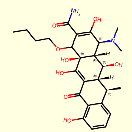 CCCCOC1C(C(N)=O)=C(O)[C@@H](N(C)C)[C@@H]2[C@@H](O)[C@H]3C(=C(O)[C@]12O)C(=O)c1c(O)cccc1[C@@H]3C